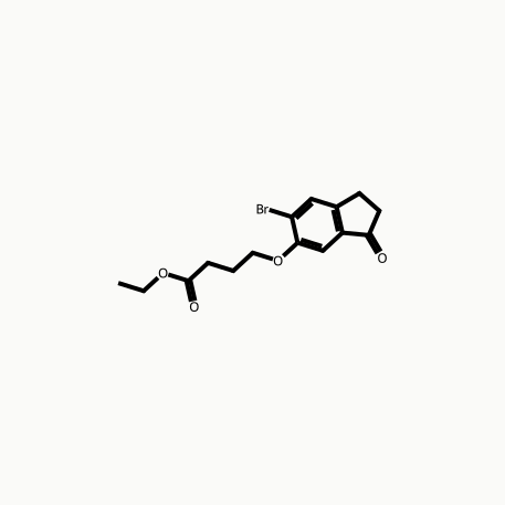 CCOC(=O)CCCOc1cc2c(cc1Br)CCC2=O